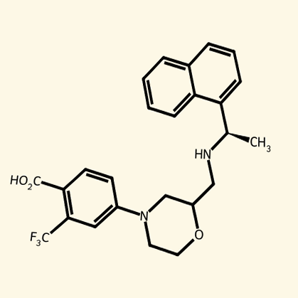 C[C@@H](NCC1CN(c2ccc(C(=O)O)c(C(F)(F)F)c2)CCO1)c1cccc2ccccc12